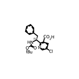 CC(C)(C)OC(=O)N[C@@H](Cc1ccccc1)c1ncc(Cl)cc1C(=O)O